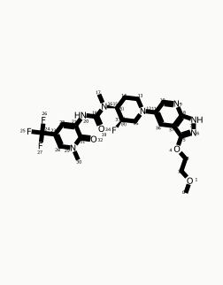 COCCOc1n[nH]c2ncc(N3CC[C@H](N(C)C(=O)Nc4cc(C(F)(F)F)cn(C)c4=O)[C@H](F)C3)cc12